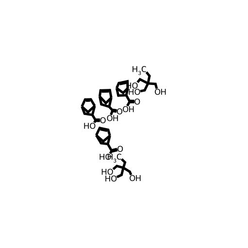 CCC(CO)(CO)CO.CCC(CO)(CO)CO.O=C(O)C1CC2C=CC1C2.O=C(O)C1CC2C=CC1C2.O=C(O)C1CC2C=CC1C2.O=C(O)C1CC2C=CC1C2